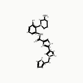 NC1CCCN(c2c(F)cccc2NC(=O)c2csc(-c3cnn(Cc4cccs4)c3)n2)C1